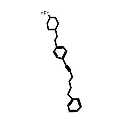 CCCC1CCC(CCc2ccc(C#CCCCCc3ccccc3)cc2)CC1